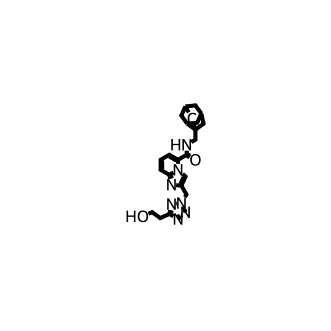 O=C(NCC12CC3CC(CC1C3)C2)c1cccc2nc(Cn3nnc(CCO)n3)cn12